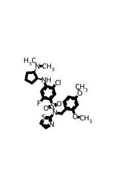 COc1ccc(CN(c2nccs2)S(=O)(=O)c2cc(Cl)c(N[C@H]3CCC[C@@H]3N(C)C)cc2F)c(OC)c1